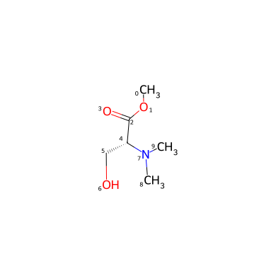 COC(=O)[C@@H](CO)N(C)C